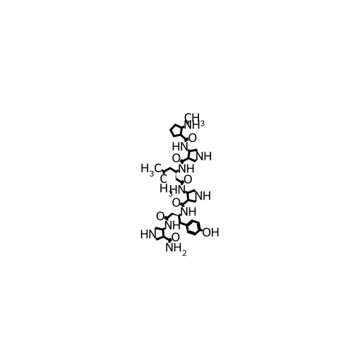 CNC1CCCC1C(=O)NC1CNCC1C(=O)N[C@H](CC(=O)NC1CNCC1C(=O)N[C@H](CC(=O)NC1CNCC1C(N)=O)Cc1ccc(O)cc1)CC(C)C